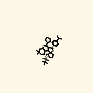 CC(C)c1ccc([C@H]2OC3(CCCC3I)c3c4c(nc(C5CCCC5)c32)CC(C)(C)CC4O[Si](C)(C)C(C)(C)C)cc1